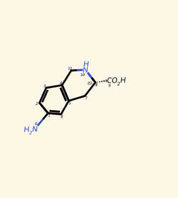 Nc1ccc2c(c1)C[C@@H](C(=O)O)NC2